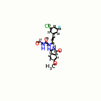 COc1ccc2c(c1)C(=O)N(C[C@@H](C#Cc1cc(F)cc(Cl)c1)NC(=O)NC=O)C2